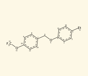 CCc1ccc(OCc2ccc(OC(F)(F)F)cc2)cc1